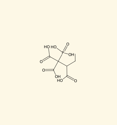 CCC(C(=O)O)C(C(=O)O)(C(=O)O)P(=O)(O)O